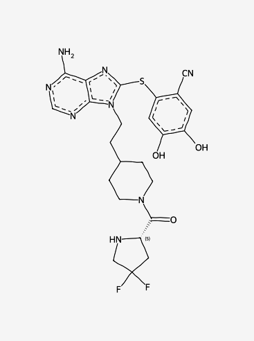 N#Cc1cc(O)c(O)cc1Sc1nc2c(N)ncnc2n1CCC1CCN(C(=O)[C@@H]2CC(F)(F)CN2)CC1